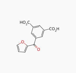 O=C(O)c1cc(C(=O)O)cc(C(=O)c2ccco2)c1